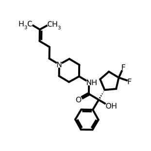 CC(C)=CCCN1CCC(NC(=O)C(O)(c2ccccc2)[C@@H]2CCC(F)(F)C2)CC1